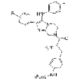 CCCCCNc1ccc(C[C@H](N)C(=O)N2CCn3c(nc(-c4ccc(F)cc4)c3Nc3ccc(C)cc3)C2)cc1